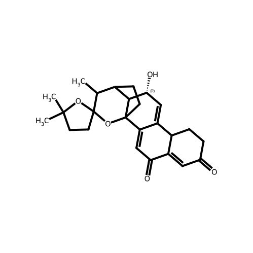 CC1C2CCC3(OC14CCC(C)(C)O4)C1=CC(=O)C4=CC(=O)CCC4C1=C[C@@H](O)C23